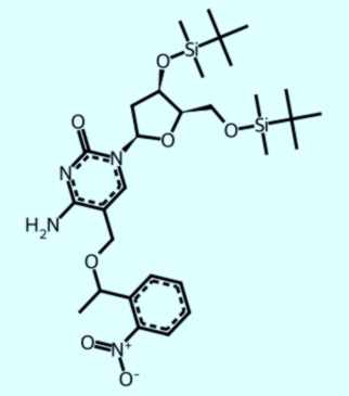 CC(OCc1cn([C@H]2C[C@@H](O[Si](C)(C)C(C)(C)C)[C@@H](CO[Si](C)(C)C(C)(C)C)O2)c(=O)nc1N)c1ccccc1[N+](=O)[O-]